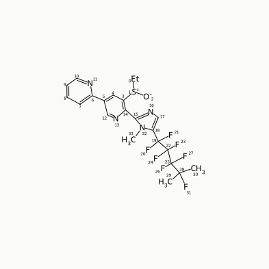 CC[S+]([O-])c1cc(-c2ccccn2)cnc1-c1ncc(C(F)(F)C(F)(F)C(F)(F)C(C)(C)F)n1C